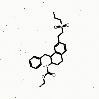 CCCS(=O)(=O)CCc1ccc2c(c1)C(Cc1ccccc1)C(NC(=O)OCC)CC2